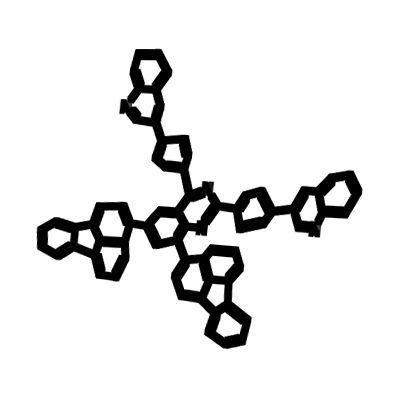 c1ccc2c(c1)-c1cccc3c(-c4cc(-c5ccc6c7c(cccc57)-c5ccccc5-6)c5nc(-c6ccc(-c7cnc8ccccc8c7)cc6)nc(-c6ccc(-c7cnc8ccccc8c7)cc6)c5c4)ccc-2c13